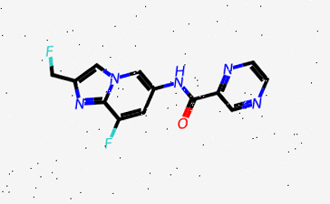 O=C(Nc1cc(F)c2nc(CF)cn2c1)c1cnccn1